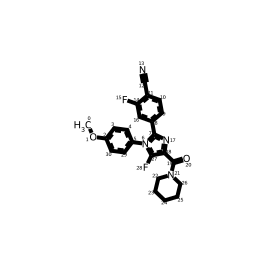 COc1ccc(-n2c(-c3ccc(C#N)c(F)c3)nc(C(=O)N3CCCCC3)c2F)cc1